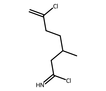 C=C(Cl)CCC(C)CC(=N)Cl